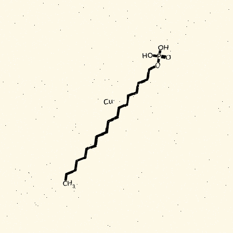 CCCCCCCCCCCCCCCCCCOP(=O)(O)O.[Cu]